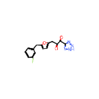 O=C(Cc1ccc(Cc2cccc(F)c2)o1)C(=O)c1nn[nH]n1